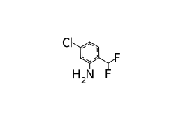 Nc1cc(Cl)ccc1C(F)F